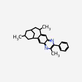 Cc1nc2cc3c(cc2nc1-c1ccccc1)C(C)CC1CC(C)CC3C1